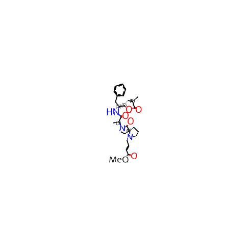 COC(=O)C=CCN1CCC[C@]12CCN([C@@H](C)C(=O)N[C@@H](Cc1ccccc1)[C@@H]1C[C@@H](C)C(=O)O1)C2=O